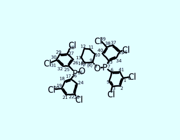 Clc1cc(Cl)cc(P(O[C@@H]2CCCC[C@H]2OP(c2cc(Cl)cc(Cl)c2)c2cc(Cl)cc(Cl)c2)c2cc(Cl)cc(Cl)c2)c1